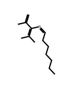 C=C(C)C(/N=C\CCCCCC)=C(C)C